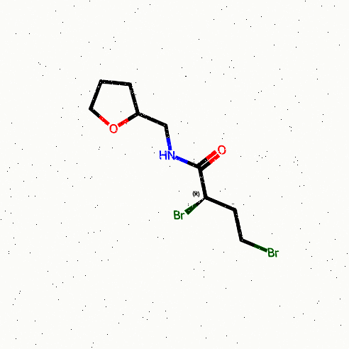 O=C(NCC1CCCO1)[C@H](Br)CCBr